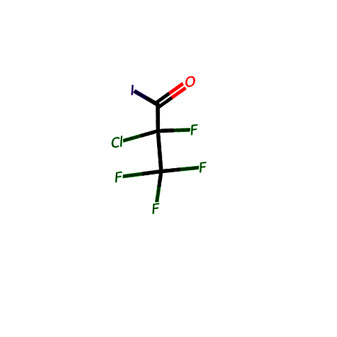 O=C(I)C(F)(Cl)C(F)(F)F